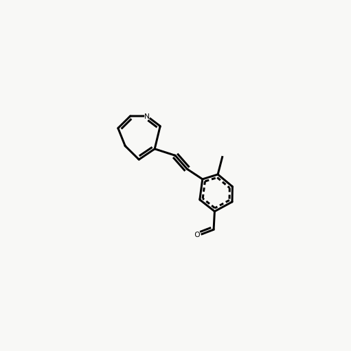 Cc1ccc(C=O)cc1C#CC1=CCC=CN=C1